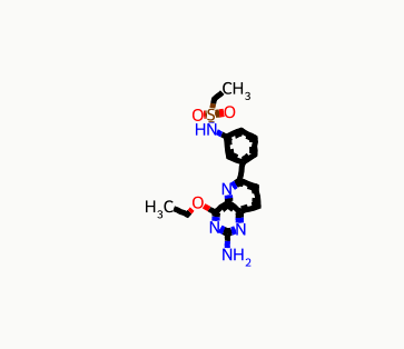 CCOc1nc(N)nc2ccc(-c3cccc(NS(=O)(=O)CC)c3)nc12